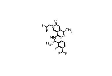 Cc1nnc(N[C@H](C)c2cccc(C(F)F)c2F)c2cn(CC(F)F)c(=O)cc12